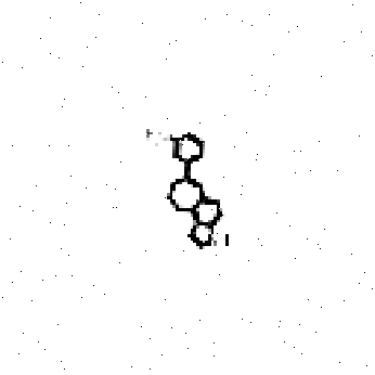 FC(F)(F)c1cccc(C2=Cc3ccc4[nH]ccc4c3CCC2)c1